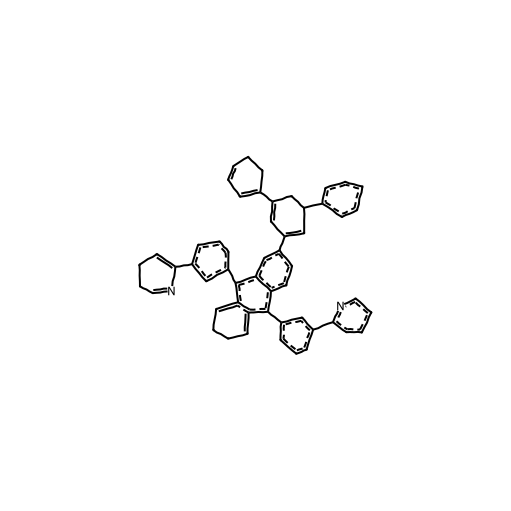 C1=CCCC(C2=CC(c3ccc4c(-c5cccc(-c6ccccn6)c5)c5c(c(-c6cccc(C7=CCCC=N7)c6)c4c3)=CCCC=5)=CC(c3ccccc3)C2)=C1